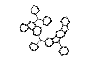 C1=CC(N(c2ccccc2)c2cc3ccccc3c3cc(N(c4ccccc4)c4ccc5c(c4)c4cc6c(cc4n5-c4ccccc4)sc4ccccc46)ccc23)=CCC1